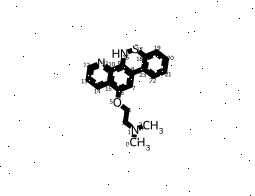 CN(C)CCOc1cc2c(c3ncccc13)NSc1ccccc1-2